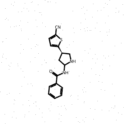 N#Cc1ccc([C@H]2CNC(NC(=O)c3ccccc3)C2)s1